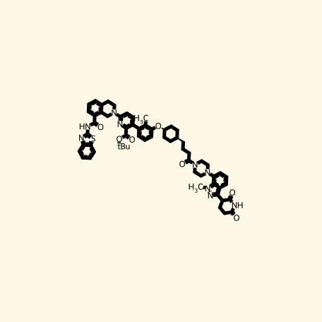 Cc1c(O[C@H]2CC[C@H](CCCC(=O)N3CCN(c4cccc5c(C6CCC(=O)NC6=O)nn(C)c45)CC3)CC2)cccc1-c1ccc(N2CCc3cccc(C(=O)Nc4nc5ccccc5s4)c3C2)nc1C(=O)OC(C)(C)C